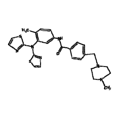 Cc1ccc(NC(=O)c2ccc(CN3CCN(C)CC3)cc2)cc1N(c1nccs1)c1nccs1